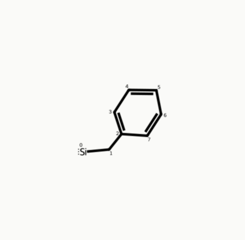 [Si]Cc1ccccc1